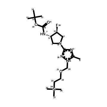 Cc1nc(N2C[C@H](NC(=O)OC(C)(C)C)[C@@H](F)C2)nn1COCC[Si](C)(C)C